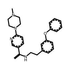 C=C(NCCc1cccc(Oc2ccccc2)c1)c1ccc(N2CCN(C)CC2)nc1